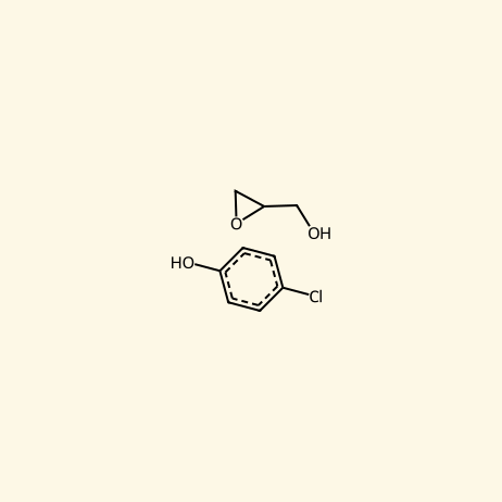 OCC1CO1.Oc1ccc(Cl)cc1